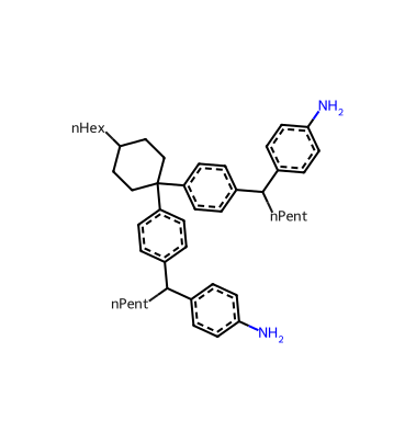 CCCCCCC1CCC(c2ccc(C(CCCCC)c3ccc(N)cc3)cc2)(c2ccc(C(CCCCC)c3ccc(N)cc3)cc2)CC1